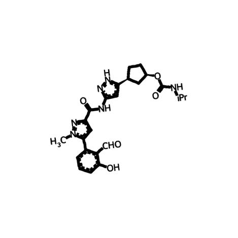 CC(C)NC(=O)O[C@@H]1CC[C@H](c2cc(NC(=O)c3cc(-c4cccc(O)c4C=O)n(C)n3)n[nH]2)C1